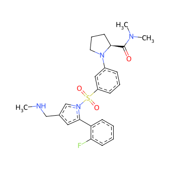 CNCc1cc(-c2ccccc2F)n(S(=O)(=O)c2cccc(N3CCC[C@H]3C(=O)N(C)C)c2)c1